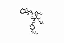 CCN/C(C)=C(\C(=O)OCc1ccc([N+](=O)[O-])cc1)N1C(=O)C[C@H]1SSc1nc2ccccc2s1